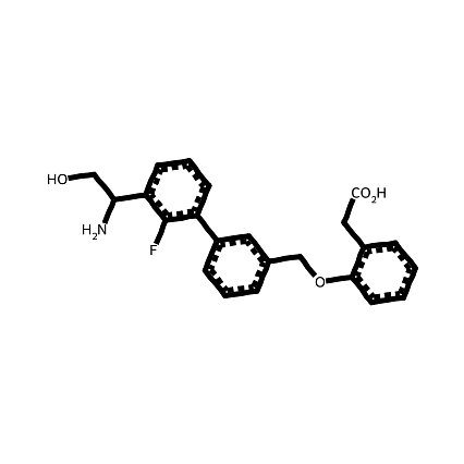 NC(CO)c1cccc(-c2cccc(COc3ccccc3CC(=O)O)c2)c1F